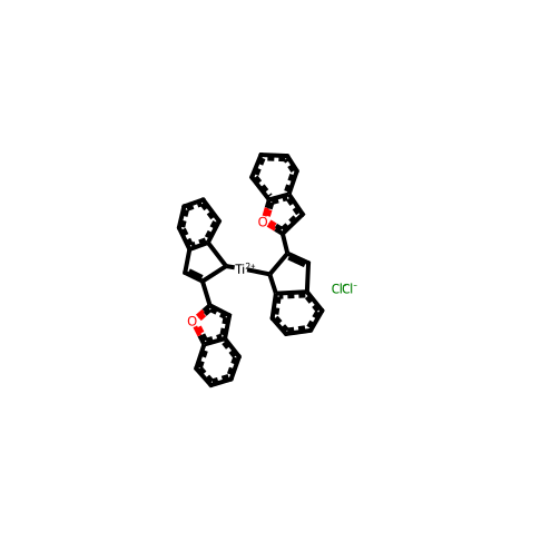 C1=C(c2cc3ccccc3o2)[CH]([Ti+2][CH]2C(c3cc4ccccc4o3)=Cc3ccccc32)c2ccccc21.[Cl-].[Cl-]